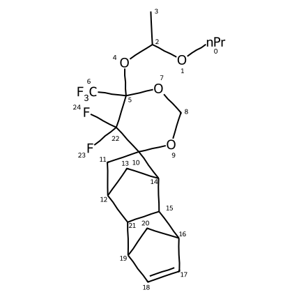 CCCOC(C)OC1(C(F)(F)F)OCOC2(CC3CC2C2C4C=CC(C4)C32)C1(F)F